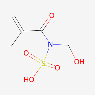 C=C(C)C(=O)N(CO)S(=O)(=O)O